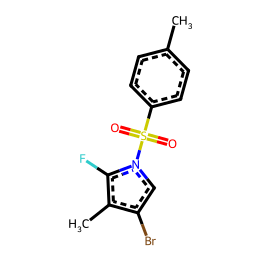 Cc1ccc(S(=O)(=O)n2cc(Br)c(C)c2F)cc1